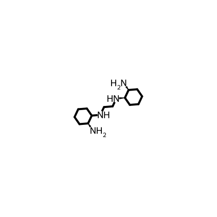 N[C@H]1CCCCC1NCCN[C@@H]1CCCC[C@@H]1N